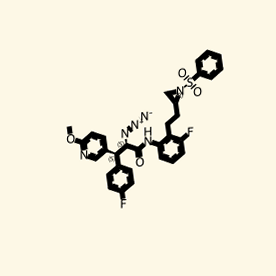 COc1ccc([C@H](c2ccc(F)cc2)[C@H](N=[N+]=[N-])C(=O)Nc2cccc(F)c2CCC2C[N@]2S(=O)(=O)c2ccccc2)cn1